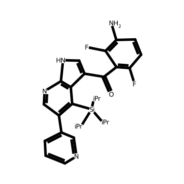 CC(C)[Si](c1c(-c2cccnc2)cnc2[nH]cc(C(=O)c3c(F)ccc(N)c3F)c12)(C(C)C)C(C)C